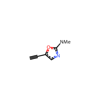 C#Cc1cnc(NC)o1